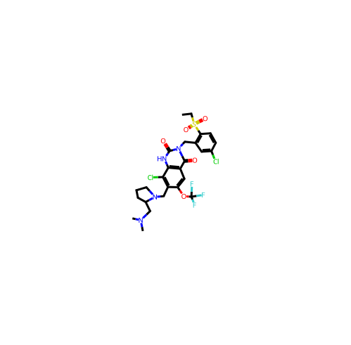 CCS(=O)(=O)c1ccc(Cl)cc1Cn1c(=O)[nH]c2c(Cl)c(CN3CCCC3CN(C)C)c(OC(F)(F)F)cc2c1=O